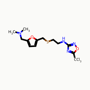 CN(C)Cc1ccc(CSCCNc2noc(C(Cl)(Cl)Cl)n2)o1